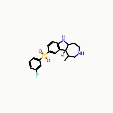 CC1CNCCC2Nc3ccc(S(=O)(=O)c4cccc(F)c4)cc3[C@@H]12